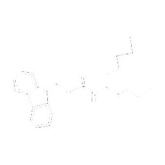 CCCCC[C@H](CCCC)NC(=O)OCC1c2ccccc2-c2ccccc21